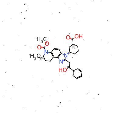 COC(=O)N1c2ccc3c(nc(C[C@@H](O)c4ccccc4)n3[C@@H]3CCC[C@@H](C(=O)O)C3)c2CC[C@@H]1C